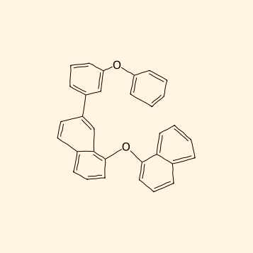 c1ccc(Oc2cccc(-c3ccc4cccc(Oc5cccc6ccccc56)c4c3)c2)cc1